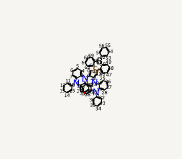 C1=C(N2c3ccccc3N(c3ccccc3)c3ccccc32)C(N2c3ccccc3N(c3ccccc3)c3ccccc32)=CS12c1ccccc1B(c1ccccc1)c1ccccc12